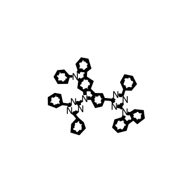 c1ccc(-c2nc(-c3ccc4c(c3)c3cc5c6ccccc6n(-c6ccccc6)c5cc3n4-c3nc(-c4ccccc4)nc(-c4ccccc4)n3)nc(-n3c4ccccc4c4ccccc43)n2)cc1